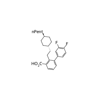 CCCCC[C@H]1CC[C@H](CCc2c(C(=O)O)cccc2-c2ccc(F)c(F)c2)CC1